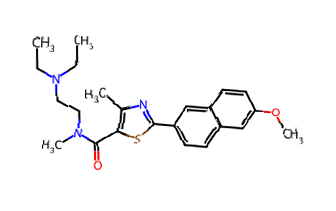 CCN(CC)CCN(C)C(=O)c1sc(-c2ccc3cc(OC)ccc3c2)nc1C